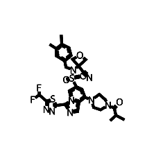 Cc1ccc(CN(C2(C#N)COC2)S(=O)(=O)c2cc(N3CCN(C(=O)C(C)C)CC3)c3cnc(-c4nnc(C(F)F)s4)n3c2)cc1C